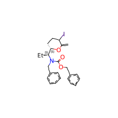 C=C1O[C@H]([C@H](CC)N(Cc2ccccc2)C(=O)OCc2ccccc2)CCC1I